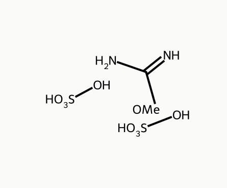 COC(=N)N.O=S(=O)(O)O.O=S(=O)(O)O